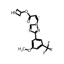 COc1cc(-c2ncn(/C=C\C(=O)OC3CNC3)n2)cc(C(F)(F)F)c1